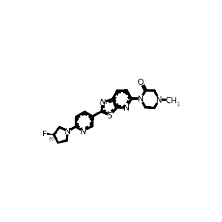 CN1CCN(c2ccc3nc(-c4ccc(N5CC[C@@H](F)C5)nc4)sc3n2)C(=O)C1